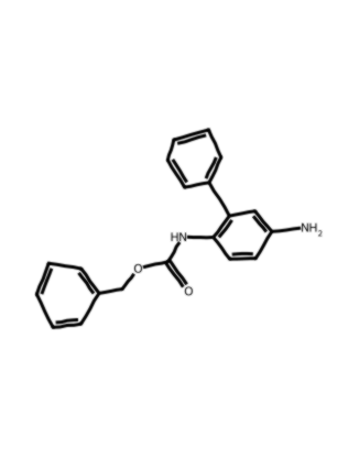 Nc1ccc(NC(=O)OCc2ccccc2)c(-c2ccccc2)c1